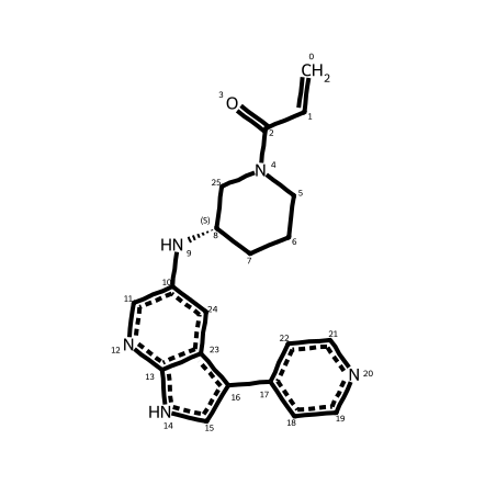 C=CC(=O)N1CCC[C@H](Nc2cnc3[nH]cc(-c4ccncc4)c3c2)C1